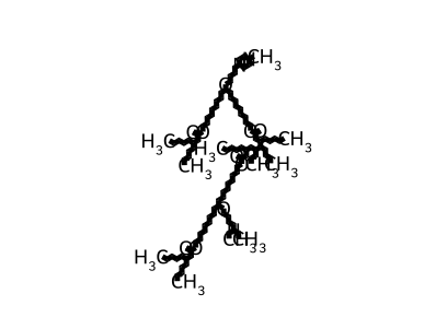 CCCCCC(CCCCC)CC(=O)OCCCCCCCCCC(CCCCCCCCCOC(=O)CC(CCCCC)CC(CCC)C(CCCC)C(CCCCC)CC(=O)OCCCCCCCCCC(CCCCCCCCCOC(=O)CC(CCCCC)CCCCC)OCCCCN1CCN(C)CC1)OCCCCN(CC)CC